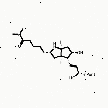 CCCCC[C@H](O)/C=C/[C@@H]1[C@H]2C[C@H](CCCCC(=O)N(C)C)N[C@H]2C[C@H]1O